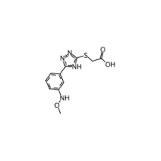 CONc1cccc(-c2nnc(SCC(=O)O)[nH]2)c1